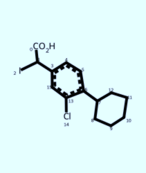 O=C(O)C(I)c1ccc(C2CCCCC2)c(Cl)c1